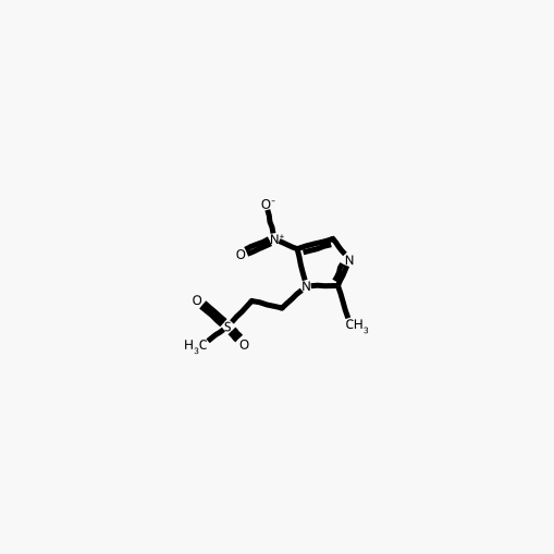 Cc1ncc([N+](=O)[O-])n1CCS(C)(=O)=O